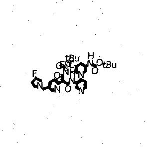 CC(C)(C)OC(=O)Nc1oc2cc(CN3CC[C@@H](F)C3)cnc2c1C(=O)Nc1cnccc1N1CC(NC(=O)OC(C)(C)C)C[C@@H](C(F)(F)F)C1